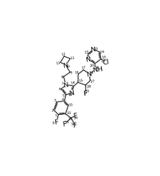 Fc1ccc(-c2cn(CCN3CCC3)c(C3CCN(Nc4ncncc4Cl)CC3F)n2)cc1C(F)(F)F